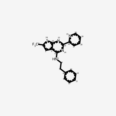 FC(F)(F)c1cc2c(NCCc3ccccc3)nc(-c3ccccn3)nc2s1